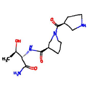 C[C@@H](O)[C@H](NC(=O)[C@@H]1CCN(C(=O)[C@H]2CCNC2)C1)C(N)=O